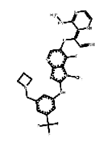 CNC1=NC=CN/C1=C(\C=N)Oc1cnc2nc(Nc3cc(CN4CCC4)cc(C(F)(F)F)c3)n(C)c2c1Cl